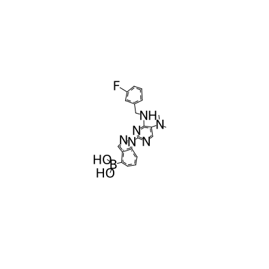 CN(C)c1cnc(-n2ncc3c(B(O)O)cccc32)nc1NCc1cccc(F)c1